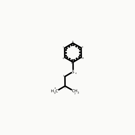 CC(C)CSc1cc[c]cc1